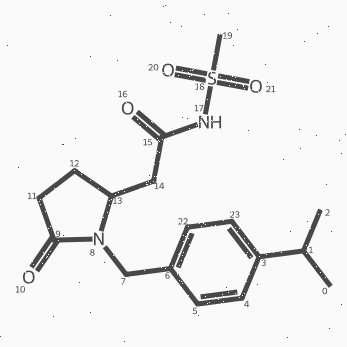 CC(C)c1ccc(CN2C(=O)CCC2CC(=O)NS(C)(=O)=O)cc1